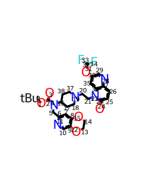 CC(C)(C)OC(=O)N(Cc1cc2c(cn1)OCCO2)C1CCN(CCn2c(=O)ccc3ncc(OC(F)F)cc32)CC1